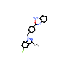 Cc1nn(Cc2ccc(C(=O)Nc3ccccc3N)cc2)c2ccc(F)cc12